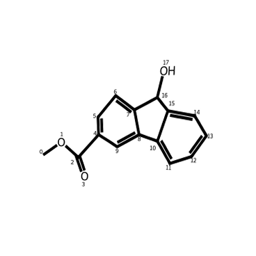 COC(=O)c1ccc2c(c1)-c1ccccc1C2O